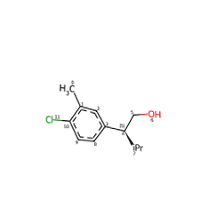 Cc1cc([C@@H](CO)C(C)C)ccc1Cl